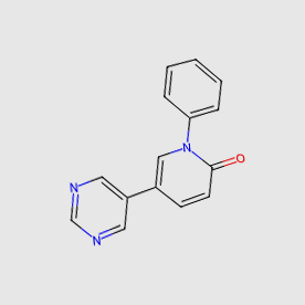 O=c1ccc(-c2cncnc2)cn1-c1ccccc1